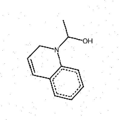 CC(O)N1CC=[C]c2ccccc21